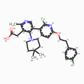 Cc1ncc(-c2ccc(OCCc3ccc(F)cc3)nc2F)c(N2CCC(C)(C)CC2)c1CC(=O)O